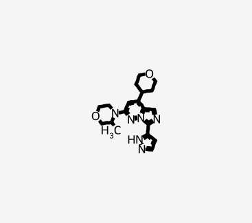 CC1COCCN1c1cc(C2CCOCC2)c2cnc(-c3ccn[nH]3)n2n1